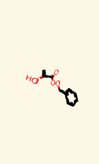 CC(O)C(=O)OOCc1ccccc1